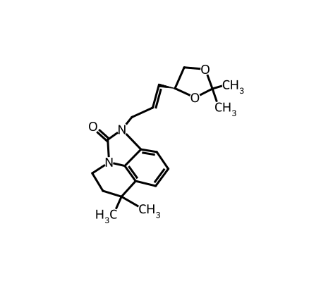 CC1(C)OC[C@H](C=CCn2c(=O)n3c4c(cccc42)C(C)(C)CC3)O1